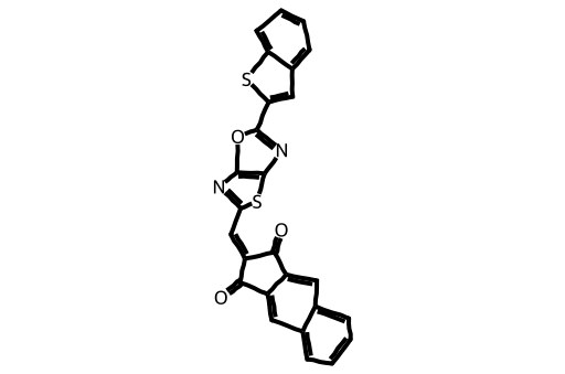 O=C1C(=Cc2nc3oc(-c4cc5ccccc5s4)nc3s2)C(=O)c2cc3ccccc3cc21